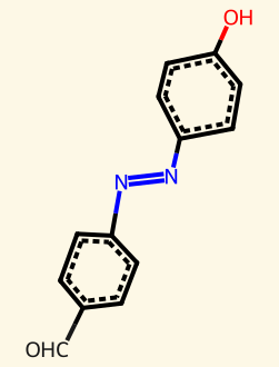 O=Cc1ccc(N=Nc2ccc(O)cc2)cc1